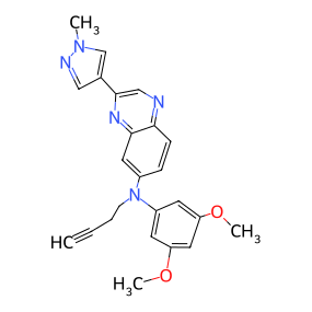 C#CCCN(c1cc(OC)cc(OC)c1)c1ccc2ncc(-c3cnn(C)c3)nc2c1